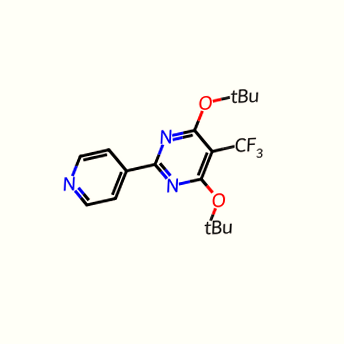 CC(C)(C)Oc1nc(-c2ccncc2)nc(OC(C)(C)C)c1C(F)(F)F